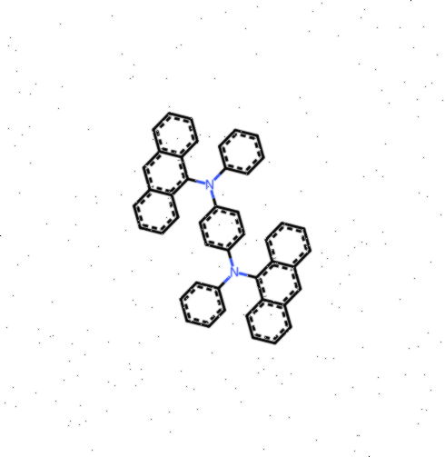 c1ccc(N(c2ccc(N(c3ccccc3)c3c4ccccc4cc4ccccc34)cc2)c2c3ccccc3cc3ccccc23)cc1